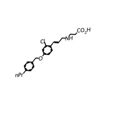 CCCc1ccc(COc2ccc(C=CCNCCC(=O)O)c(Cl)c2)cc1